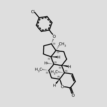 C[C@H]1C[C@H]2OC(=O)C=C[C@]2(C)[C@H]2CC[C@]3(C)[C@@H](Oc4ccc(Cl)cc4)CC[C@H]3[C@H]12